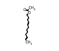 CC=CCCCCC=CCCCOC(C)=O